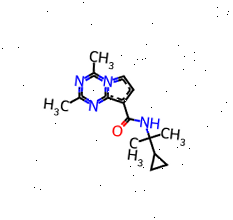 Cc1nc(C)n2ccc(C(=O)NC(C)(C)C3CC3)c2n1